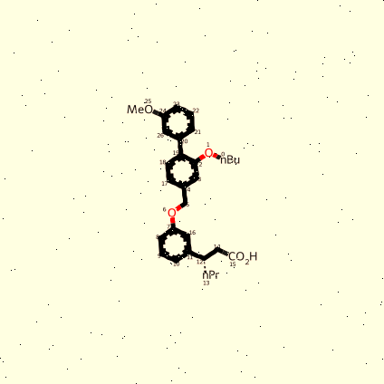 CCCCOc1cc(COc2cccc([C@@H](CCC)CC(=O)O)c2)ccc1-c1cccc(OC)c1